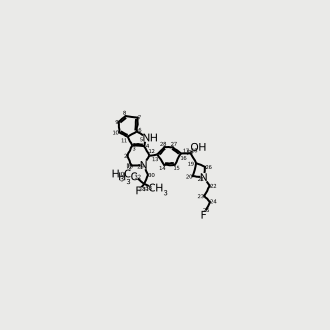 C[C@@H]1Cc2c([nH]c3ccccc23)C(c2ccc([C@H](O)C3CN(CCCF)C3)cc2)N1CC(C)(C)F